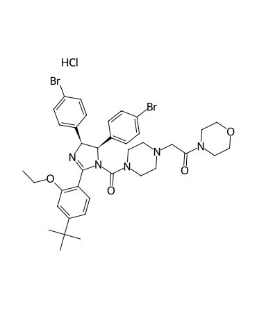 CCOc1cc(C(C)(C)C)ccc1C1=N[C@@H](c2ccc(Br)cc2)[C@@H](c2ccc(Br)cc2)N1C(=O)N1CCN(CC(=O)N2CCOCC2)CC1.Cl